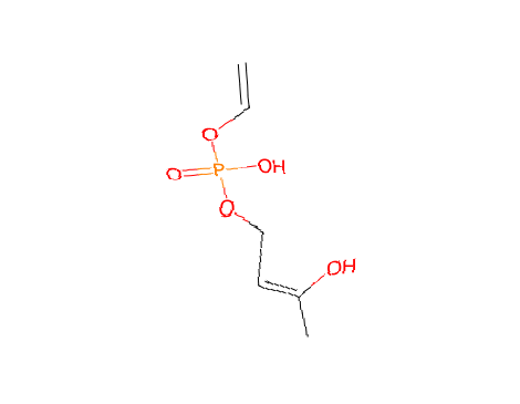 C=COP(=O)(O)OCC=C(C)O